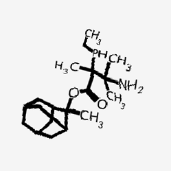 CCPC(C)(C(=O)OC1(C)C2CC3CC(C2)CC1C3)C(C)(C)N